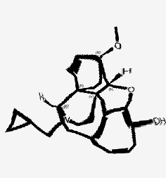 CO[C@]12C=C[C@@]3(CC1)[C@H]1Cc4ccc(O)c5c4[C@@]3(CCN1CC1CC1)[C@H]2O5